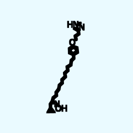 ON=C(CCCCCCCCCCCCCCc1ccc(OCCCc2c[nH]cn2)cc1)CC1CC1